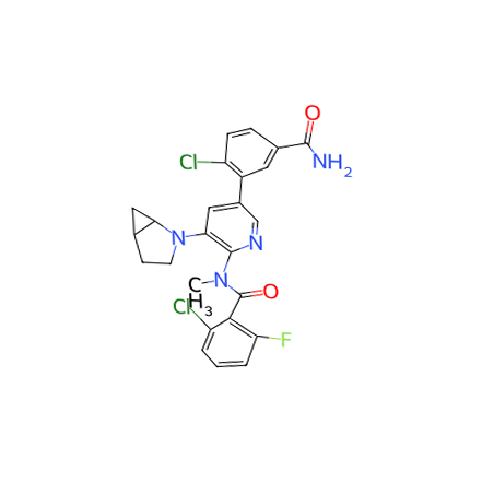 CN(C(=O)c1c(F)cccc1Cl)c1ncc(-c2cc(C(N)=O)ccc2Cl)cc1N1CCC2CC21